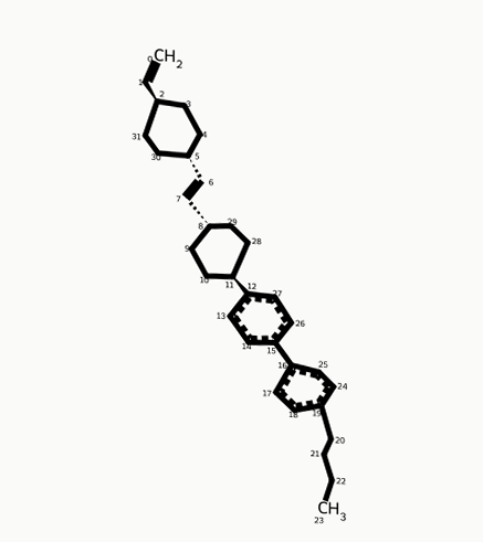 C=C[C@H]1CC[C@H](C=C[C@H]2CC[C@H](c3ccc(-c4ccc(CCCC)cc4)cc3)CC2)CC1